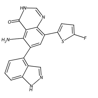 Nc1c(-c2cccc3[nH]ncc23)cc(-c2ccc(F)s2)c2nc[nH]c(=O)c12